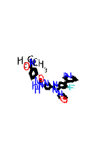 CN(C)C(=O)c1ccc(NC(=O)Nc2ccc(-c3nc(N4CCOCC4)c4cc(F)c(-c5cccnc5)cc4n3)cn2)cc1